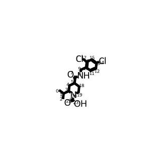 CC(C)C1CC(C(=O)NCc2ccc(Cl)cc2Cl)CCN1C(=O)O